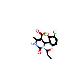 CCC(=O)N1C(=O)NC(C)=C(C(=O)O)C1c1cccc(Cl)c1Cl